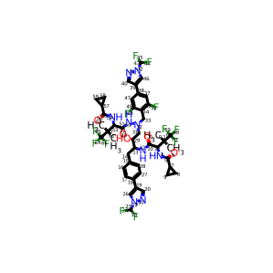 CC(C)(C(NC(=O)C1CC1)C(=O)NC(Cc1ccc(-c2cnn(C(F)F)c2)cc1)C(O)CN(Cc1c(F)cc(-c2cnn(C(F)F)c2)cc1F)NC(=O)C(NC(=O)C1CC1)C(C)(C)C(F)(F)F)C(F)(F)F